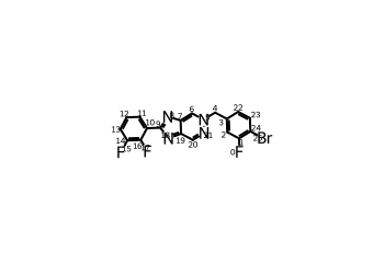 Fc1cc(Cn2cc3nc(-c4cccc(F)c4F)nc-3cn2)ccc1Br